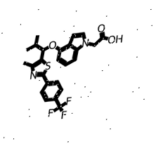 Cc1nc(-c2ccc(C(F)(F)F)cc2)sc1C(Oc1cccc2c1ccn2CC(=O)O)C(C)C